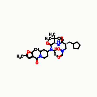 Cc1cc(C(=O)N2CCC(N(C)C(=O)[C@@H](NC(=O)[C@H](CC3CCCC3)CN(O)C=O)C(C)(C)C)CC2)c(C)o1